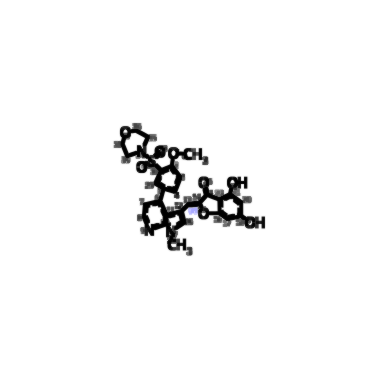 COc1ccc(-c2ccnc3c2c(/C=C2\Oc4cc(O)cc(O)c4C2=O)cn3C)cc1S(=O)(=O)N1CCOCC1